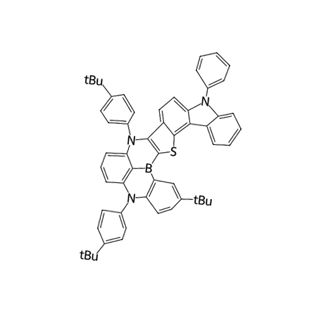 CC(C)(C)c1ccc(N2c3ccc(C(C)(C)C)cc3B3c4sc5c(ccc6c5c5ccccc5n6-c5ccccc5)c4N(c4ccc(C(C)(C)C)cc4)c4cccc2c43)cc1